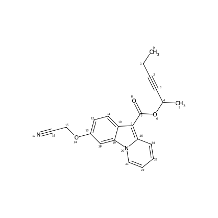 CCC#CC(C)OC(=O)c1c2ccc(OCC#N)cc2n2ccccc12